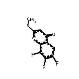 CSc1cc(=O)c2cc(F)c(F)c(F)c2s1